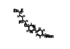 CCCCCCCCCc1ccc(-c2ncc(OCC(F)CCC(F)CC)cn2)cc1